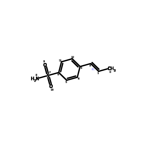 C/C=C/c1ccc(S(N)(=O)=O)cc1